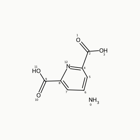 N.O=C(O)c1cccc(C(=O)O)n1